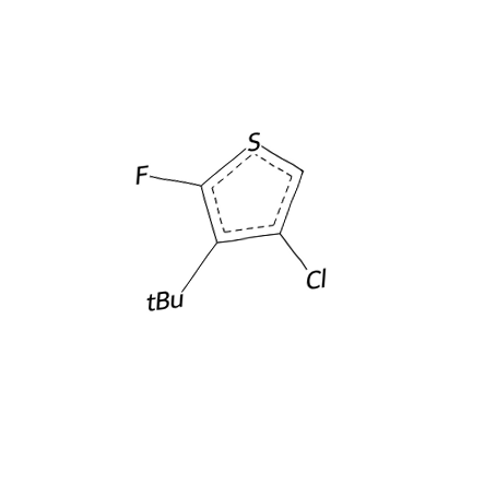 CC(C)(C)c1c(Cl)csc1F